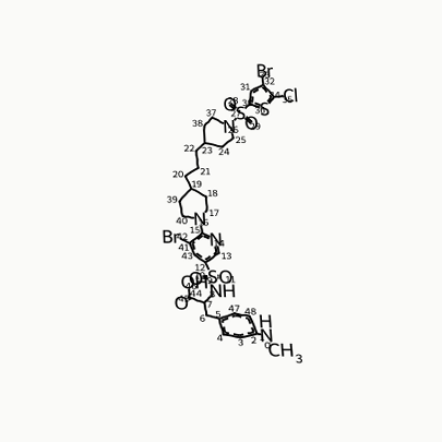 CNc1ccc(CC(NS(=O)(=O)c2cnc(N3CCC(CCCC4CCN(S(=O)(=O)c5cc(Br)c(Cl)s5)CC4)CC3)c(Br)c2)C(=O)O)cc1